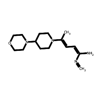 C=N/C(N)=C\C=C(/C)N1CCC(N2CCOCC2)CC1